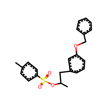 Cc1ccc(S(=O)(=O)OC(C)Cc2cccc(OCc3ccccc3)c2)cc1